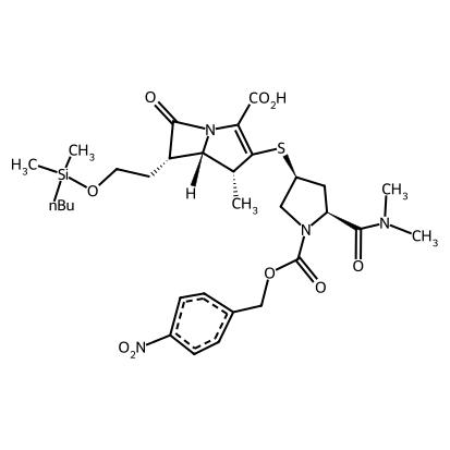 CCCC[Si](C)(C)OCC[C@@H]1C(=O)N2C(C(=O)O)=C(S[C@H]3C[C@@H](C(=O)N(C)C)N(C(=O)OCc4ccc([N+](=O)[O-])cc4)C3)[C@H](C)[C@H]12